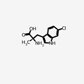 C[C@](N)(Cc1c[nH]c2cc(Cl)ccc12)C(=O)O